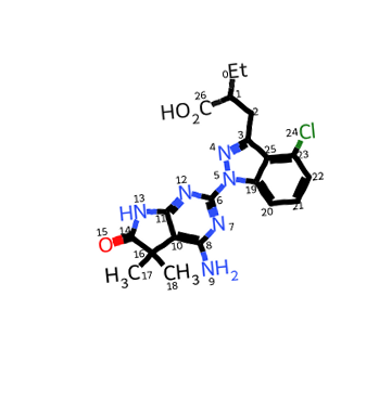 CCC(Cc1nn(-c2nc(N)c3c(n2)NC(=O)C3(C)C)c2cccc(Cl)c12)C(=O)O